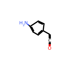 Nc1ccc(C=C=O)cc1